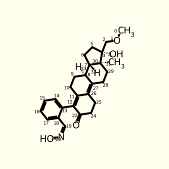 COC[C@]1(O)CC[C@H]2[C@@H]3CCC4=C(c5ccccc5/C=N\O)C(=O)CCC4=C3CC[C@@]21C